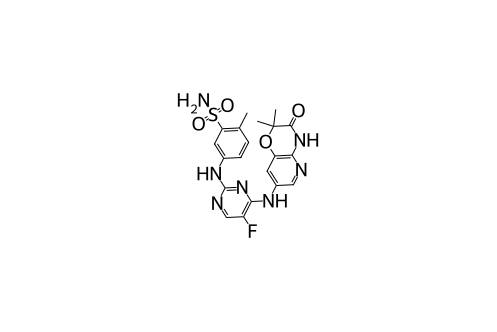 Cc1ccc(Nc2ncc(F)c(Nc3cnc4c(c3)OC(C)(C)C(=O)N4)n2)cc1S(N)(=O)=O